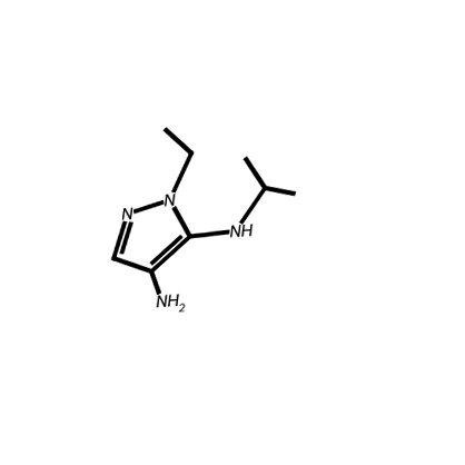 CCn1ncc(N)c1NC(C)C